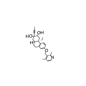 CC#CC1(O)C[C@H]2CCc3cc(OCc4c(C)ccnc4C)ccc3[C@]2(CC)CC1O